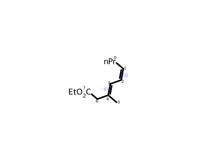 CCC/C=C\C=C(/C)CC(=O)OCC